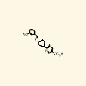 N#Cc1cccc(COc2ccc(-c3ncc(C(=O)O)cn3)cc2)c1